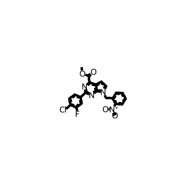 COC(=O)c1nc(-c2ccc(Cl)c(F)c2)nc2c1ccn2Cc1ccccc1[N+](=O)[O-]